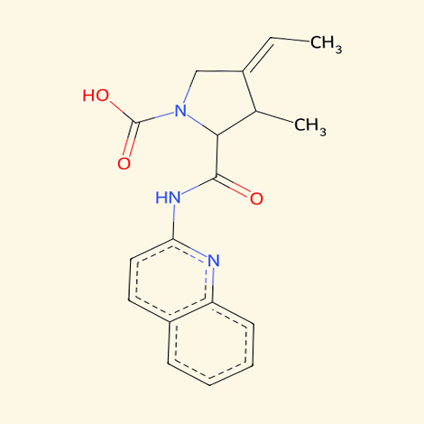 CC=C1CN(C(=O)O)C(C(=O)Nc2ccc3ccccc3n2)C1C